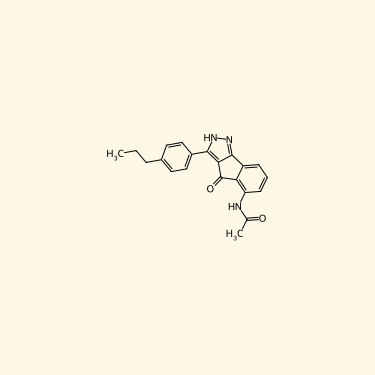 CCCc1ccc(-c2[nH]nc3c2C(=O)c2c(NC(C)=O)cccc2-3)cc1